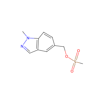 Cn1ncc2cc(COS(C)(=O)=O)ccc21